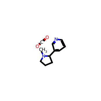 CN1CCCC1c1cccnc1.O=C=O